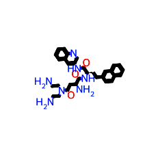 NCCN(CCN)C(=O)C[C@H](N)C(=O)N[C@@H](CCc1ccc2ccccc2c1)C(=O)Nc1cnc2ccccc2c1